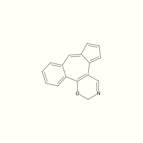 C1=NCOc2c1c1cccc-1cc1ccccc21